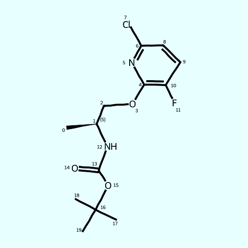 C[C@@H](COc1nc(Cl)ccc1F)NC(=O)OC(C)(C)C